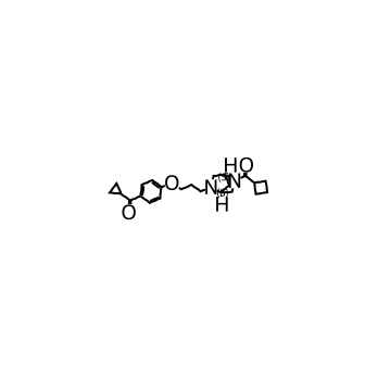 O=C(c1ccc(OCCCN2C[C@@H]3C[C@H]2CN3C(=O)C2CCC2)cc1)C1CC1